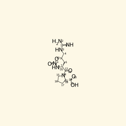 N=C(N)NCCC[C@H](N[N+](=O)[O-])C(=O)N1CCC[C@H]1C(=O)O